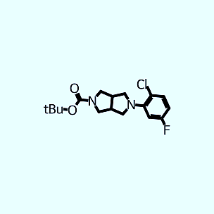 CC(C)(C)OC(=O)N1CC2CN(c3cc(F)ccc3Cl)CC2C1